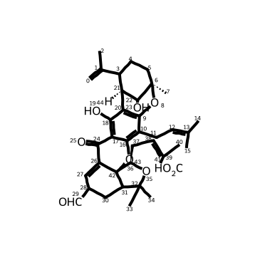 C=C(C)C1CC[C@@]2(C)Oc3c(CC=C(C)C)c4c(c(O)c3[C@@H]1C2O)C(=O)C1=CC(C=O)CC2C(C)(C)O[C@H](C/C=C(/C)C(=O)O)[C@@]12O4